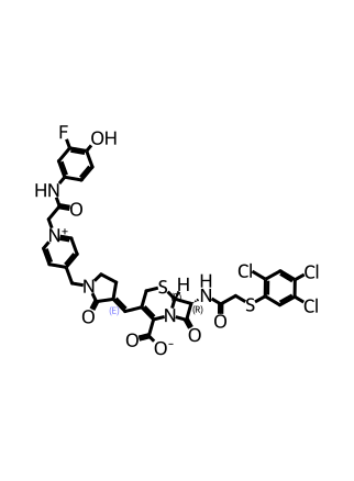 O=C(C[n+]1ccc(CN2CC/C(=C\C3=C(C(=O)[O-])N4C(=O)[C@@H](NC(=O)CSc5cc(Cl)c(Cl)cc5Cl)[C@H]4SC3)C2=O)cc1)Nc1ccc(O)c(F)c1